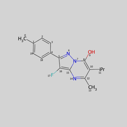 Cc1ccc(-c2nn3c(O)c(C(C)C)c(C)nc3c2F)cc1